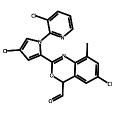 Cc1cc(Cl)cc2c1N=C(c1cc(Cl)cn1-c1ncccc1Cl)OC2C=O